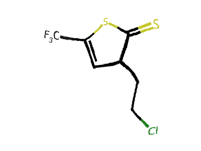 FC(F)(F)C1=CC(CCCl)C(=S)S1